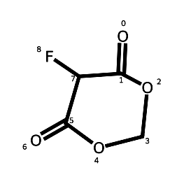 O=C1OCOC(=O)C1F